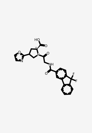 O=C(NCC(=O)N1CC(c2ncco2)C[C@H]1C(=O)O)c1ccc2c(c1)-c1ccccc1C2(F)F